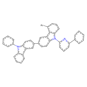 CC(=O)c1cccc2c1c1cc(-c3ccc4c(c3)c3ccccc3n4-c3ccccc3)ccc1n2-c1cccc(-c2ccccc2)n1